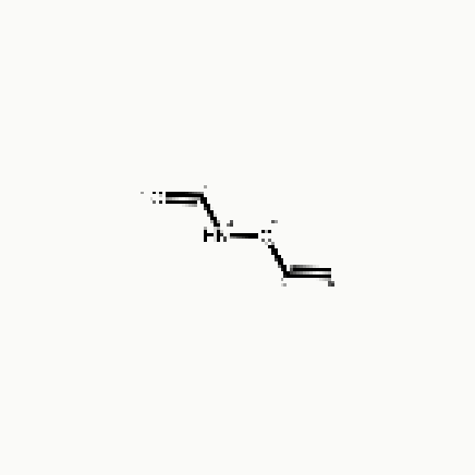 C=CONC=O